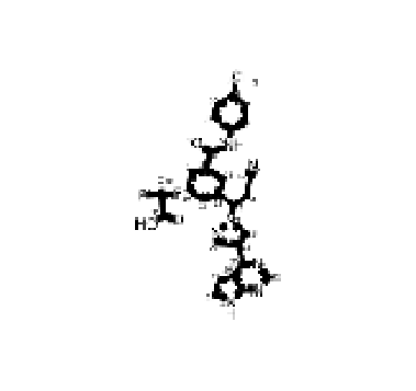 Cc1ccc(NC(=O)c2cccc(C(CC#N)n3cc(-c4ncnc5[nH]ccc45)cn3)c2)cc1.O=C(O)C(F)(F)F